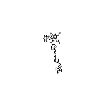 CC(SC1COC(C=CC=Cc2ccc(OCC(F)(F)C(F)F)cc2)OC1)C(O)(Cn1cncn1)c1ccc(F)cc1F